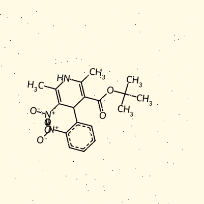 CC1=C(C(=O)OC(C)(C)C)C(c2ccccc2[N+](=O)[O-])C([N+](=O)[O-])=C(C)N1